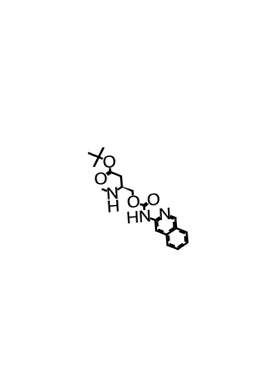 CN[C@H](COC(=O)Nc1cc2ccccc2cn1)CC(=O)OC(C)(C)C